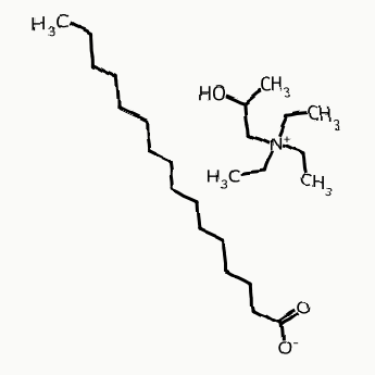 CCCCCCCCCCCCCCCC(=O)[O-].CC[N+](CC)(CC)CC(C)O